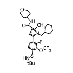 Cc1c(C(=O)NC2CCOCC2)cc(-c2ccc(SNC(C)(C)C)c(OC(F)(F)F)c2F)n1CC1CCCCC1